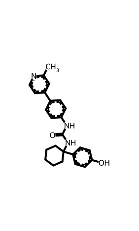 Cc1cc(-c2ccc(NC(=O)NC3(c4ccc(O)cc4)CCCCC3)cc2)ccn1